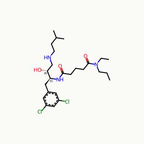 CCCN(CC)C(=O)CCCC(=O)N[C@@H](Cc1cc(Cl)cc(Cl)c1)[C@H](O)CNCCC(C)C